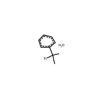 CCC(C)(C)c1ccccc1.O